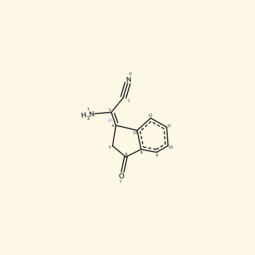 N#C/C(N)=C1/CC(=O)c2ccccc21